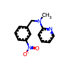 CN(Cc1cccc([N+](=O)[O-])c1)c1ccccn1